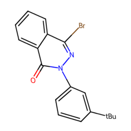 CC(C)(C)c1cccc(-n2nc(Br)c3ccccc3c2=O)c1